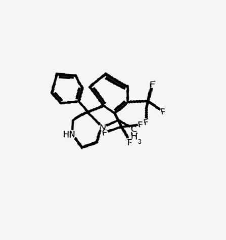 CCN1CCNCC1(c1ccccc1)c1cccc(C(F)(F)F)c1C(F)(F)F